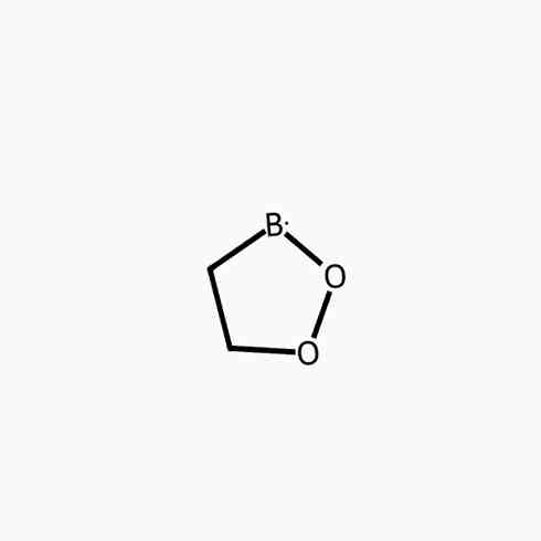 [B]1CCOO1